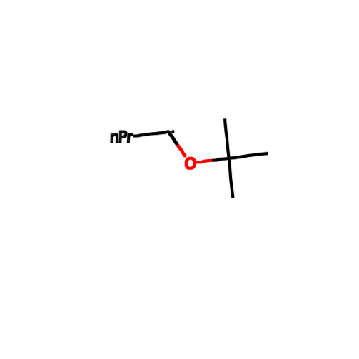 CCC[CH]OC(C)(C)C